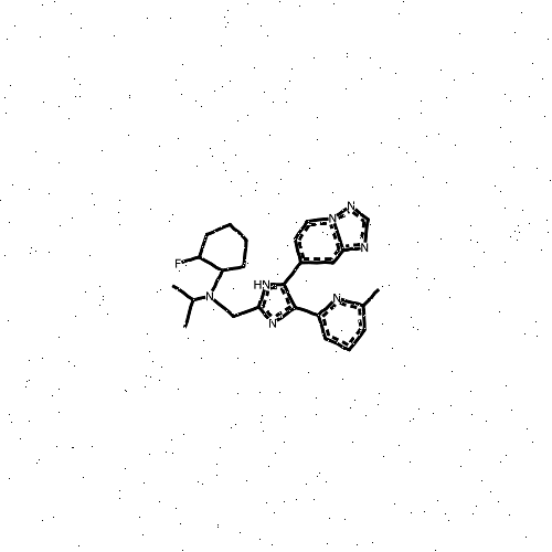 Cc1cccc(-c2nc(CN(C(C)C)C3CCCCC3F)[nH]c2-c2ccn3ncnc3c2)n1